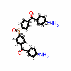 Nc1ccc(C(=O)c2ccc([S+]([O-])c3ccc(C(=O)c4ccc(N)cc4)cc3)cc2)cc1